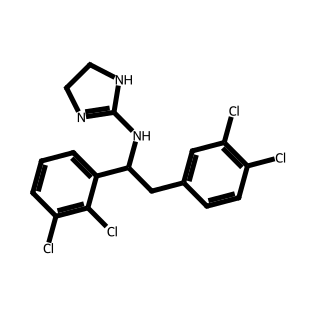 Clc1ccc(CC(NC2=NCCN2)c2cccc(Cl)c2Cl)cc1Cl